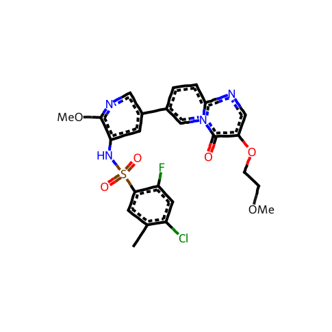 COCCOc1cnc2ccc(-c3cnc(OC)c(NS(=O)(=O)c4cc(C)c(Cl)cc4F)c3)cn2c1=O